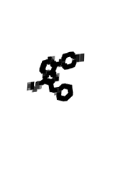 Cc1c(CN2CCCCC2)nc2c(N3CCNCC3)nccn12